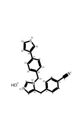 Cl.N#Cc1ccc(Cc2cncn2Cc2ccc(-c3ccsc3)cc2)cc1